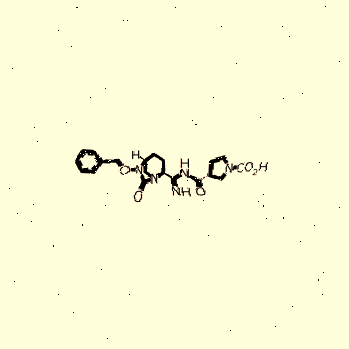 N=C(NC(=O)[C@@H]1CCN(C(=O)O)C1)[C@@H]1CC[C@@H]2CN1C(=O)N2OCc1ccccc1